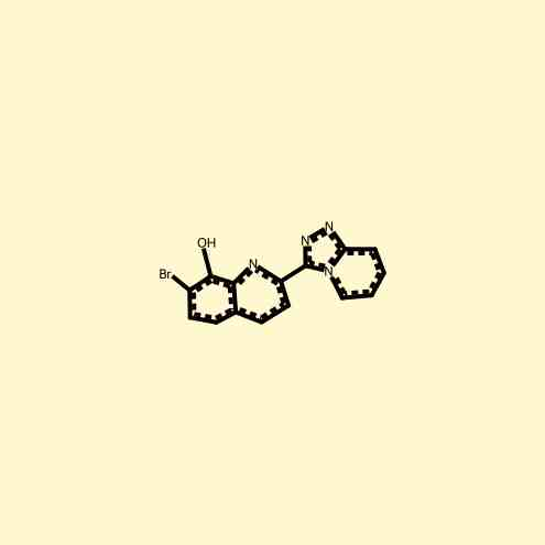 Oc1c(Br)ccc2ccc(-c3nnc4ccccn34)nc12